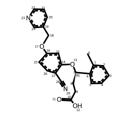 Cc1ccccc1[C@@H](CCC(=O)O)Oc1cc(OCc2cccnc2)ccc1C#N